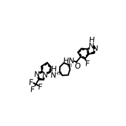 O=C(N[C@@H]1CCC[C@H](Nc2cccc3nc(C(F)(F)F)cn23)CC1)c1ccc2[nH]ncc2c1F